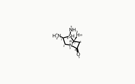 NC1CN2C(=O)C[C@H]2[SH]1N